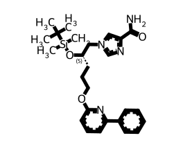 CC(C)(C)[Si](C)(C)O[C@@H](CCCOc1cccc(-c2ccccc2)n1)Cn1cnc(C(N)=O)c1